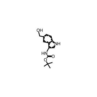 CC(C)(C)OC(=O)Nc1c[nH]c2ccc(CO)cc12